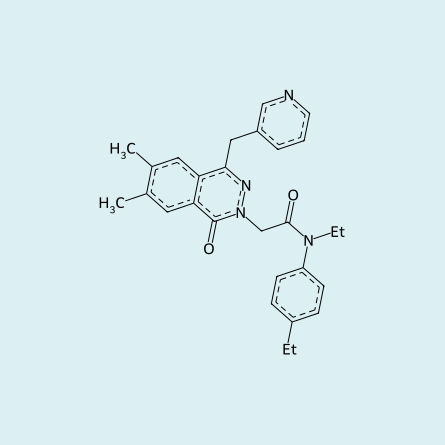 CCc1ccc(N(CC)C(=O)Cn2nc(Cc3cccnc3)c3cc(C)c(C)cc3c2=O)cc1